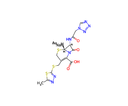 Cc1nnc(SCC2=C(C(=O)O)N3C(=O)[C@@H](NC(=O)Cn4cnnn4)[C@H]3SC2)s1.[Au].[NaH]